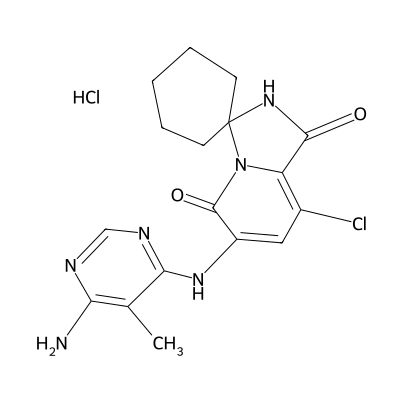 Cc1c(N)ncnc1Nc1cc(Cl)c2n(c1=O)C1(CCCCC1)NC2=O.Cl